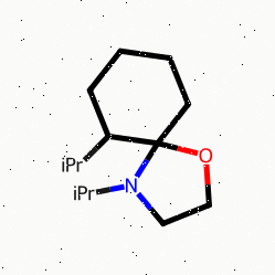 CC(C)C1CCCCC12OCCN2C(C)C